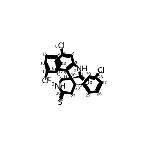 O=C1Nc2cc(Cl)ccc2[C@]12[C@@H](c1ccccc1C(F)(F)F)NC(=S)C[C@H]2c1cccc(Cl)c1